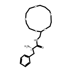 N[C@@H](Cc1ccccc1)C(=O)NCC1CCCCCCCCCCCCCC1